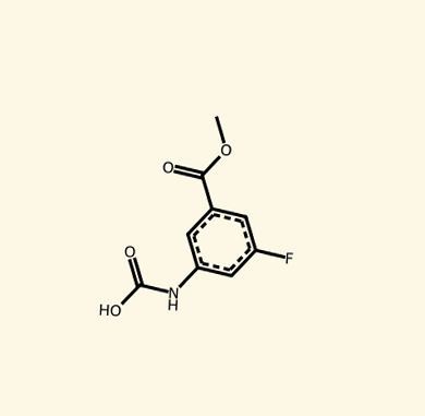 COC(=O)c1cc(F)cc(NC(=O)O)c1